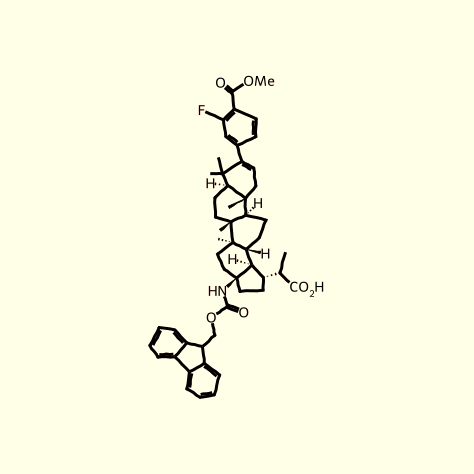 COC(=O)c1ccc(C2=CC[C@]3(C)[C@H]4CC[C@@H]5[C@H]6[C@H](C(C)C(=O)O)CC[C@]6(NC(=O)OCC6c7ccccc7-c7ccccc76)CC[C@@]5(C)[C@]4(C)CC[C@H]3C2(C)C)cc1F